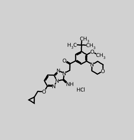 COc1c(N2CCOCC2)cc(C(=O)Cn2nc3ccc(OCC4CC4)nn3c2=N)cc1C(C)(C)C.Cl